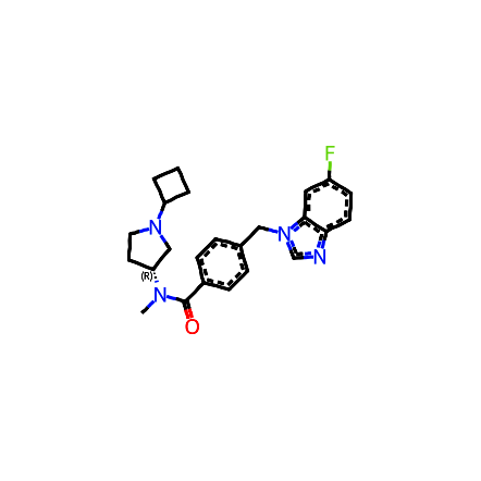 CN(C(=O)c1ccc(Cn2cnc3ccc(F)cc32)cc1)[C@@H]1CCN(C2CCC2)C1